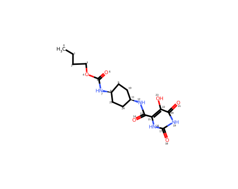 CCCCOC(=O)N[C@H]1CC[C@@H](NC(=O)c2[nH]c(=O)[nH]c(=O)c2O)CC1